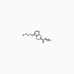 CC(C)(C)OC(=O)N1CCc2c(cccc2OCCCF)C1